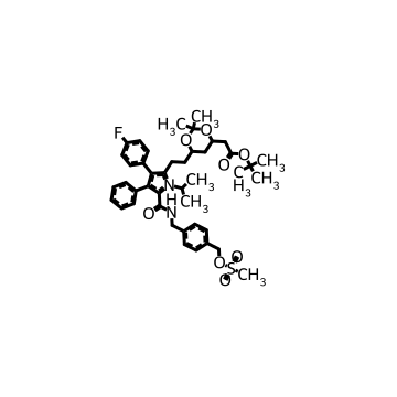 CC(C)n1c(CCC2CC(CC(=O)OC(C)(C)C)OC(C)(C)O2)c(-c2ccc(F)cc2)c(-c2ccccc2)c1C(=O)NCc1ccc(COS(C)(=O)=O)cc1